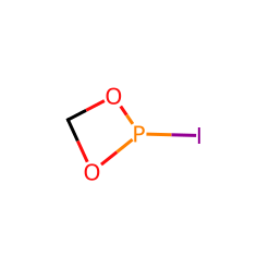 IP1OCO1